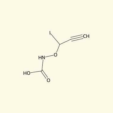 C#CC(I)ONC(=O)O